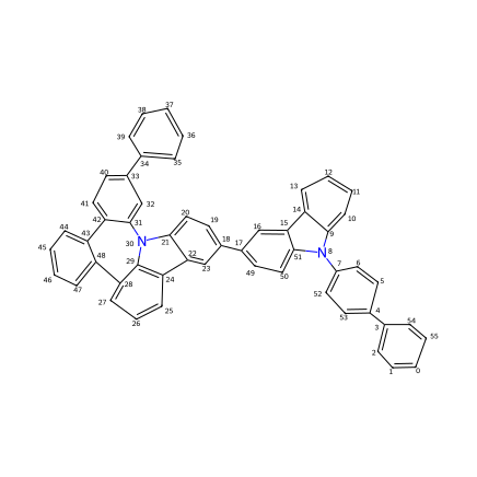 c1ccc(-c2ccc(-n3c4ccccc4c4cc(-c5ccc6c(c5)c5cccc7c5n6-c5cc(-c6ccccc6)ccc5-c5ccccc5-7)ccc43)cc2)cc1